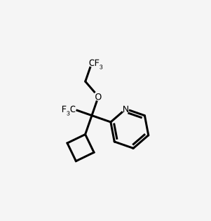 FC(F)(F)COC(c1ccccn1)(C1CCC1)C(F)(F)F